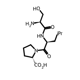 CC(C)C[C@H](NC(=O)[C@@H](N)CO)C(=O)N1CCC[C@H]1C(=O)O